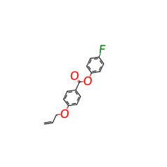 C=CCOc1ccc(C(=O)Oc2ccc(F)cc2)cc1